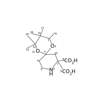 CC1OC2(CCNC(C(=O)O)(C(=O)O)C2)OC(C)(C)C1(C)C